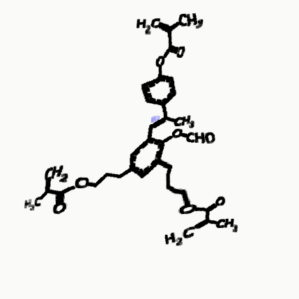 C=C(C)C(=O)OCCCc1cc(/C=C(\C)c2ccc(OC(=O)C(=C)C)cc2)c(OC=O)c(CCCOC(=O)C(=C)C)c1